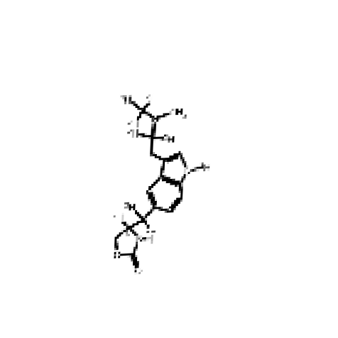 [2H]N1C(=O)OC[C@]1([2H])C([2H])([2H])c1ccc2c(c1)c(CC([2H])([2H])N(C)C([2H])([2H])[2H])cn2[2H]